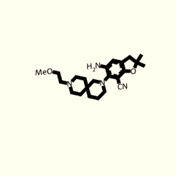 COCCN1CCC2(CCCN(c3c(N)cc4c(c3C#N)OC(C)(C)C4)C2)CC1